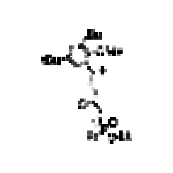 CCOP(=O)(CC)OCC(=O)C=CC(F)c1cc(C(C)(C)C)cc(C(C)(C)C)c1OC